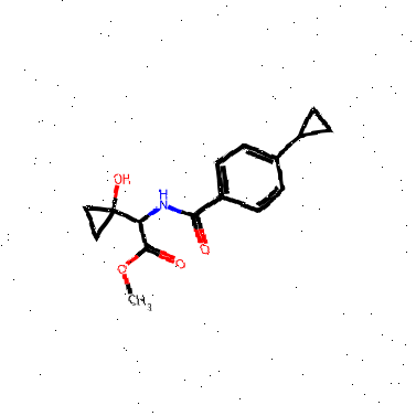 COC(=O)C(NC(=O)c1ccc(C2CC2)cc1)C1(O)CC1